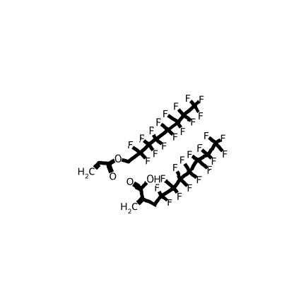 C=C(CC(F)(F)C(F)(F)C(F)(F)C(F)(F)C(F)(F)C(F)(F)C(F)(F)F)C(=O)O.C=CC(=O)OCC(F)(F)C(F)(F)C(F)(F)C(F)(F)C(F)(F)C(F)(F)C(F)(F)F